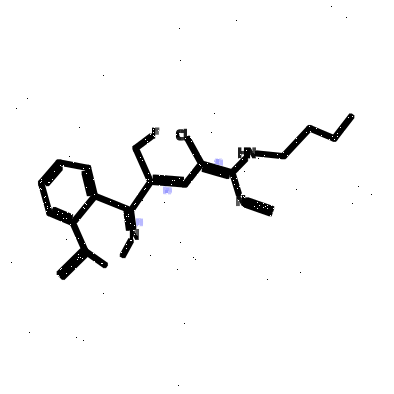 C=N\C(NCCCC)=C(Cl)/C=C(CF)/C(=N/C)c1ccccc1C(=C)C